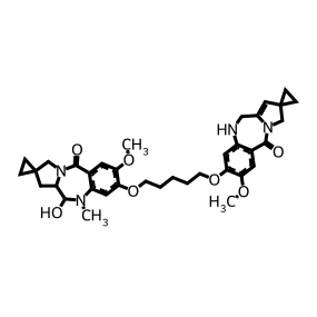 COc1cc2c(cc1OCCCCCOc1cc3c(cc1OC)C(=O)N1CC4(CC4)CC1C(O)N3C)NCC1=CC3(CC3)CN1C2=O